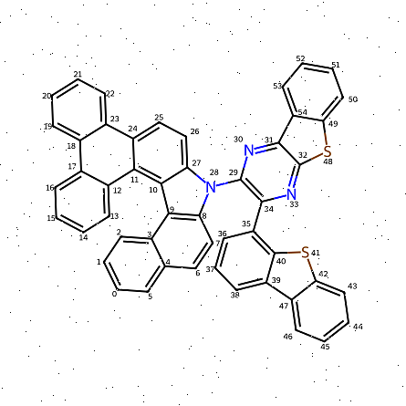 c1ccc2c(c1)ccc1c2c2c3c4ccccc4c4ccccc4c3ccc2n1-c1nc2c(nc1-c1cccc3c1sc1ccccc13)sc1ccccc12